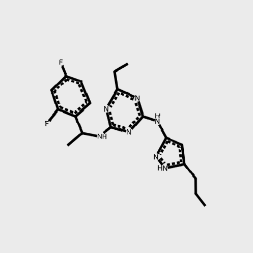 CCCc1cc(Nc2nc(CC)nc(NC(C)c3ccc(F)cc3F)n2)n[nH]1